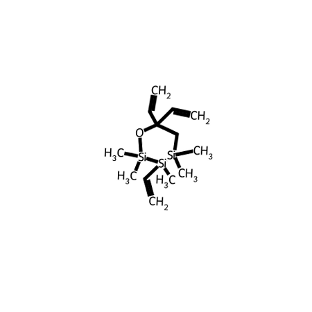 C=CC1(C=C)C[Si](C)(C)[Si](C)(C=C)[Si](C)(C)O1